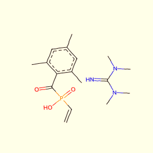 C=CP(=O)(O)C(=O)c1c(C)cc(C)cc1C.CN(C)C(=N)N(C)C